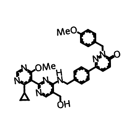 COc1ccc(Cn2nc(-c3ccc(CNc4nc(-c5c(OC)ncnc5C5CC5)ncc4CO)cc3)ccc2=O)cc1